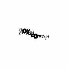 O=C(O)Cc1ccc2c(c1)CC(CNS(=O)(=O)c1ccc(Cl)c(Cl)c1)C2